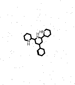 C1=CC(C2CC(C3CCCCN3)NC(C3CCCCN3)C2)CCC1